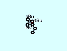 CC(C)(C)c1ccc2c(c1)c1cc(C(C)(C)C)ccc1n2-c1ccccc1-c1cccc(-c2cccc(-c3ccccc3)c2)c1C#N